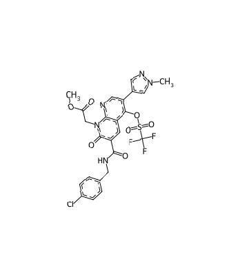 COC(=O)Cn1c(=O)c(C(=O)NCc2ccc(Cl)cc2)cc2c(OS(=O)(=O)C(F)(F)F)c(-c3cnn(C)c3)cnc21